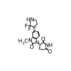 Cn1c(=O)n(C2CCC(=O)NC2=O)c2ccc([C@@H]3CCNCC3(F)F)cc21